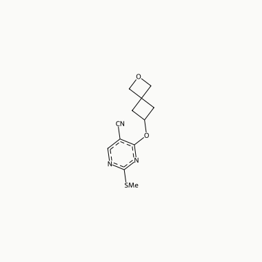 CSc1ncc(C#N)c(OC2CC3(COC3)C2)n1